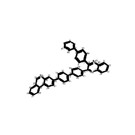 c1ccc(-c2ccc(-c3nc4ccccc4nc3-c3ccc(-c4ccc(-c5ccc6c(c5)ncc5ccccc56)cc4)cc3)cc2)cc1